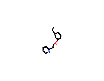 CCc1cccc(OCCc2ccccn2)c1